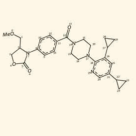 COCC1COC(=O)N1c1ccc(C(=O)N2CCN(c3ncc(C4CC4)cc3C3CC3)CC2)cc1